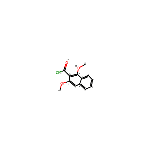 COc1cc2ccccc2c(OC)c1C(=O)Cl